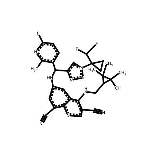 Cc1nc(F)ccc1C(Nc1cc(C#N)c2ncc(C#N)c(NCC3C(C)(C)C3(C)C)c2c1)c1cn(C2(C(F)F)CC2)nn1